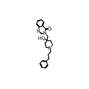 O=c1c2ccccc2ncn1CC1(O)CCN(CCCc2ccccc2)CC1